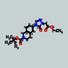 CCOC(=O)Cn1ncn(-c2ccc3c(c2)CCN(C(=O)OC(C)(C)C)C3)c1=O